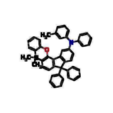 Cc1cccc(N(c2ccccc2)c2ccc3c(c2)-c2c(ccc4c2Oc2ccccc2[Si]4(C)C)C3(c2ccccc2)c2ccccc2)c1